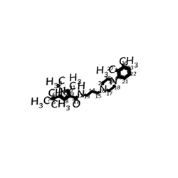 CCn1c(C(C)(C)C)cc(C(=O)NCCCN2CCN(c3cccc(C)c3C)CC2)c1C